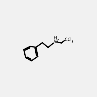 ClC(Cl)(Cl)C[SiH2]CCc1ccccc1